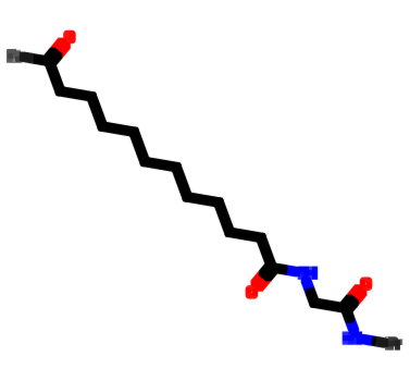 CCC(=O)CCCCCCCCCCC(=O)NCC(=O)NC(C)C